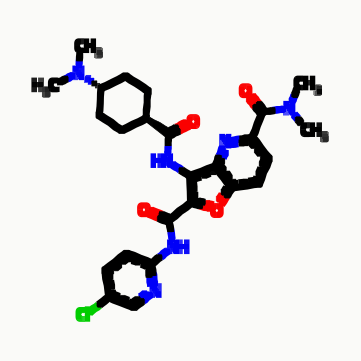 CN(C)C(=O)c1ccc2oc(C(=O)Nc3ccc(Cl)cn3)c(NC(=O)[C@H]3CC[C@H](N(C)C)CC3)c2n1